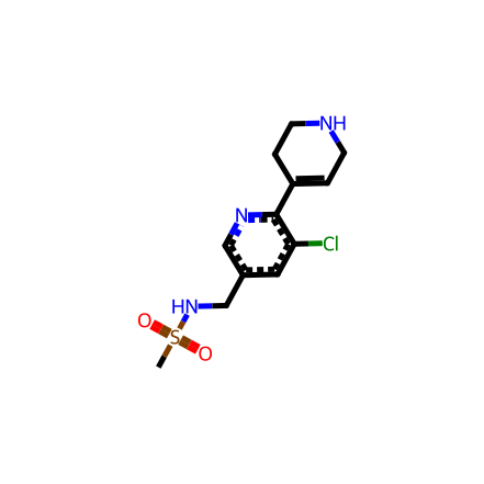 CS(=O)(=O)NCc1cnc(C2=CCNCC2)c(Cl)c1